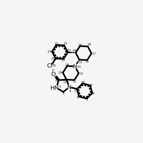 O=C1NCN(c2ccccc2)C12CCN([C@@H]1CCCC[C@@H]1c1cccc(Cl)c1)CC2